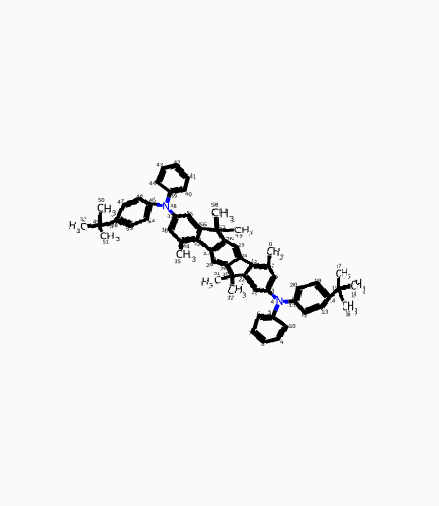 Cc1cc(N(c2ccccc2)c2ccc(C(C)(C)C)cc2)cc2c1-c1cc3c(cc1C2(C)C)-c1c(C)cc(N(c2ccccc2)c2ccc(C(C)(C)C)cc2)cc1C3(C)C